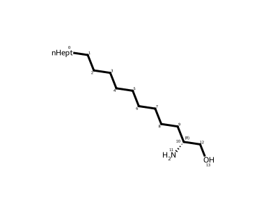 CCCCCCCCCCCCCCCC[C@@H](N)CO